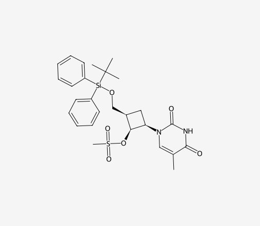 Cc1cn([C@@H]2C[C@H](CO[Si](c3ccccc3)(c3ccccc3)C(C)(C)C)[C@@H]2OS(C)(=O)=O)c(=O)[nH]c1=O